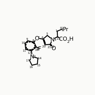 CC(C)CC(C(=O)O)N1CC(Oc2cccc(N3CCCC3)c2F)=CC1=O